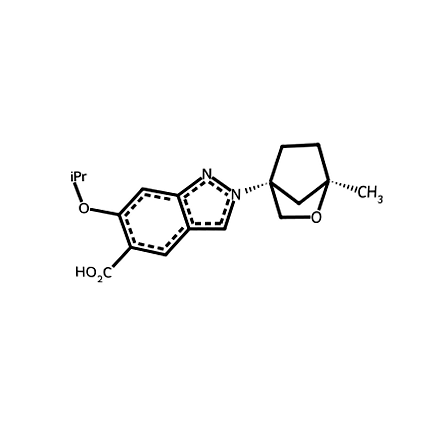 CC(C)Oc1cc2nn([C@]34CC[C@](C)(C3)OC4)cc2cc1C(=O)O